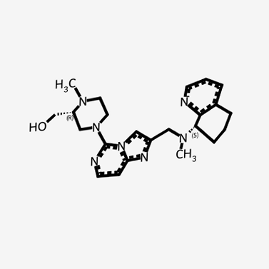 CN1CCN(c2nccc3nc(CN(C)[C@H]4CCCc5cccnc54)cn23)C[C@@H]1CO